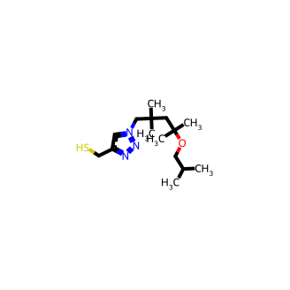 CC(C)COC(C)(C)CC(C)(C)Cn1cc(CS)nn1